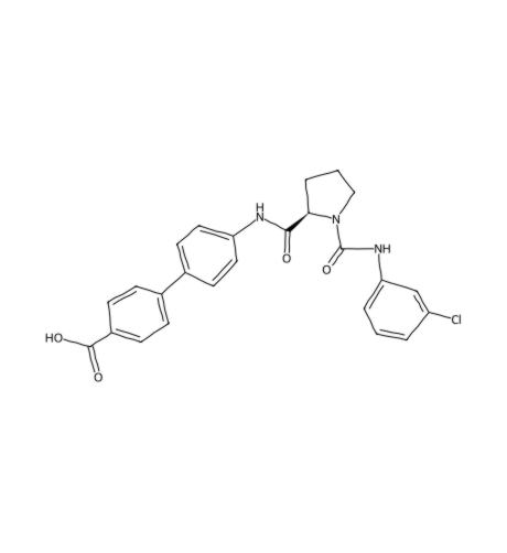 O=C(O)c1ccc(-c2ccc(NC(=O)[C@H]3CCCN3C(=O)Nc3cccc(Cl)c3)cc2)cc1